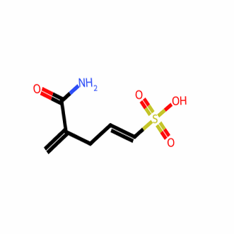 C=C(CC=CS(=O)(=O)O)C(N)=O